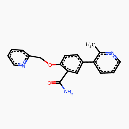 Cc1ncccc1-c1ccc(OCc2ccccn2)c(C(N)=O)c1